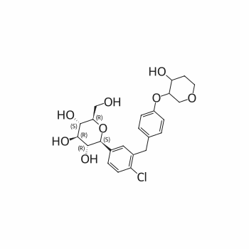 OC[C@H]1O[C@@H](c2ccc(Cl)c(Cc3ccc(OC4COCCC4O)cc3)c2)[C@H](O)[C@@H](O)[C@@H]1O